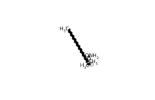 CCCCCCCCCCCCCCCCCC(CCC[Si](C)(C)Cl)OC(N)=O